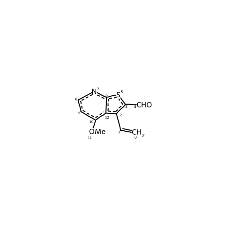 C=Cc1c(C=O)sc2nccc(OC)c12